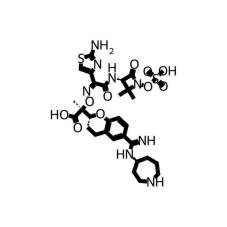 CC1(C)[C@H](NC(=O)/C(=N\O[C@](C)(C(=O)O)[C@H]2CCc3cc(C(=N)N[C@H]4CCCNCC4)ccc3O2)c2csc(N)n2)C(=O)N1OS(=O)(=O)O